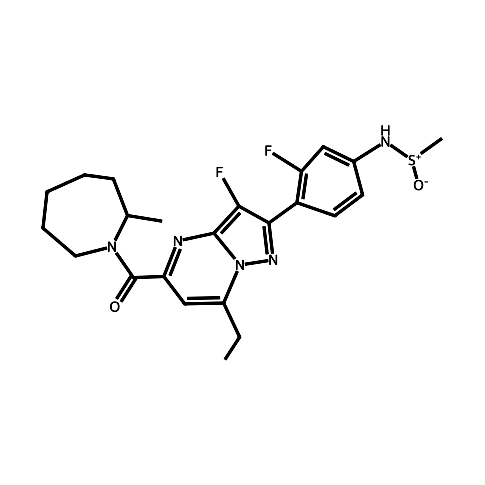 CCc1cc(C(=O)N2CCCCCC2C)nc2c(F)c(-c3ccc(N[S+](C)[O-])cc3F)nn12